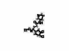 CCO/N=C(\CCC(=O)Nc1cccnc1)c1ccc(Cl)c(Cl)c1